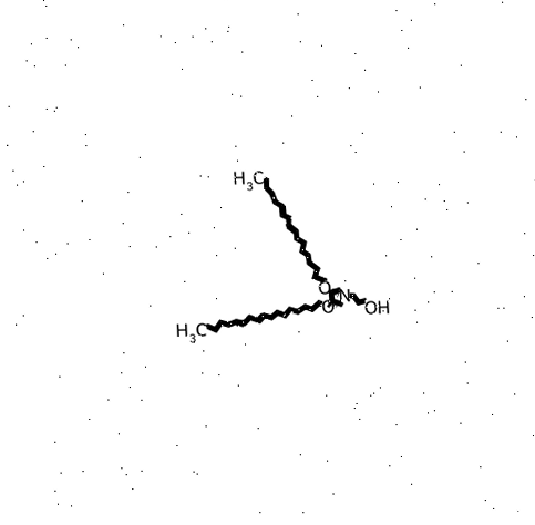 CCCCCC=CCC=CCCCCCCCCO[C@@H]1CN(CCCO)C[C@H]1OCCCCCCCCC=CCC=CCCCCC